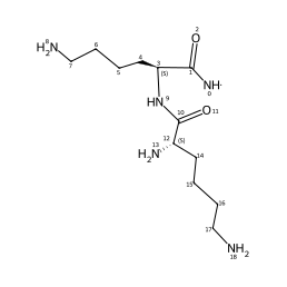 [NH]C(=O)[C@H](CCCCN)NC(=O)[C@@H](N)CCCCN